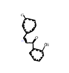 O=C(/C=C\c1cccc(Cl)c1)c1ccccc1O